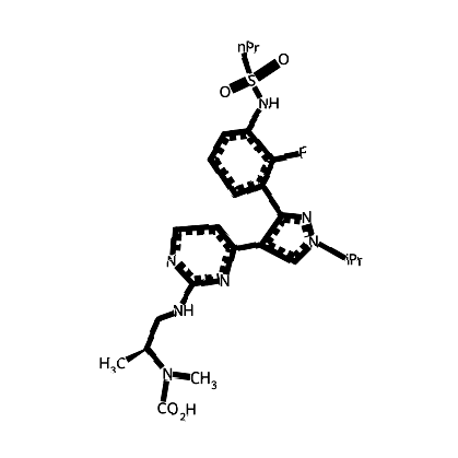 CCCS(=O)(=O)Nc1cccc(-c2nn(C(C)C)cc2-c2ccnc(NC[C@H](C)N(C)C(=O)O)n2)c1F